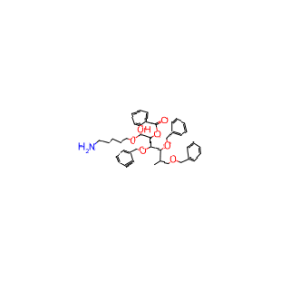 CC(COCc1ccccc1)C(OCc1ccccc1)C(OCc1ccccc1)C(OC(=O)c1ccccc1)C(O)OCCCCCN